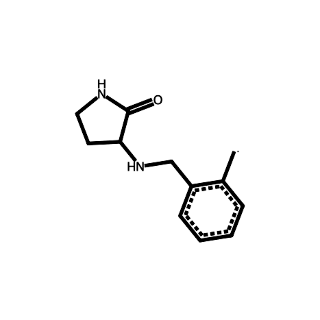 [CH2]c1ccccc1CNC1CCNC1=O